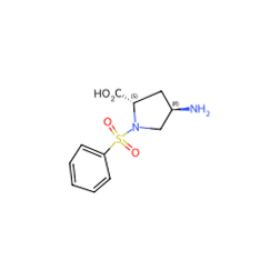 N[C@@H]1C[C@@H](C(=O)O)N(S(=O)(=O)c2ccccc2)C1